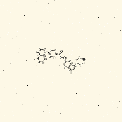 O=C(COc1ccc2[nH]cc(C3=CCNCC3)c2c1)N1CCN(c2cccc3ccccc23)CC1